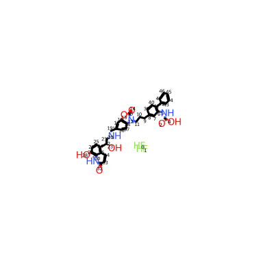 F.F.O=C(O)Nc1cc(CCCn2c(=O)oc3cc(CNC[C@@H](O)c4ccc(O)c5[nH]c(=O)ccc45)ccc32)ccc1-c1ccccc1